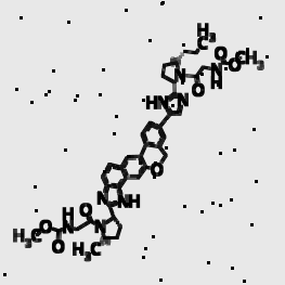 CCC[C@H]1CCC(c2ncc(-c3ccc4c(c3)COc3cc5c(ccc6nc(C7CC[C@H](C)N7C(=O)CNC(=O)OC)[nH]c65)cc3-4)[nH]2)N1C(=O)CNC(=O)OC